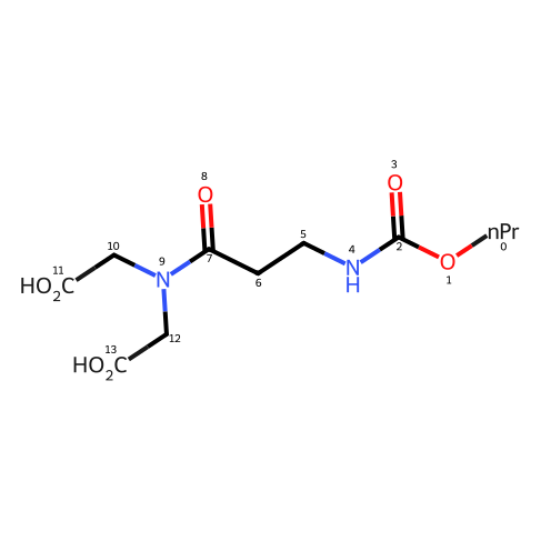 CCCOC(=O)NCCC(=O)N(CC(=O)O)CC(=O)O